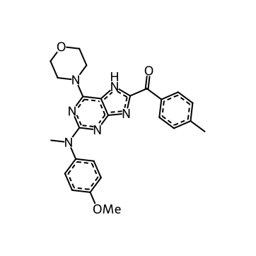 COc1ccc(N(C)c2nc(N3CCOCC3)c3[nH]c(C(=O)c4ccc(C)cc4)nc3n2)cc1